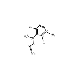 C=CCN(C)c1c(F)ccc(N)c1F